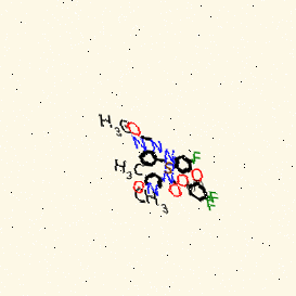 COc1ccc(NC(=O)O[C@H]2CCC(F)(F)C[C@H]2Oc2cc3sc(-c4cc(C)cc5nc(OC)cnc45)nc3cc2F)cn1